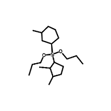 CCCO[Si](OCCC)(C1CCCC(C)C1)C1CCC(C)C1C